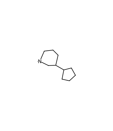 C1CCC(C2CCC[N]C2)C1